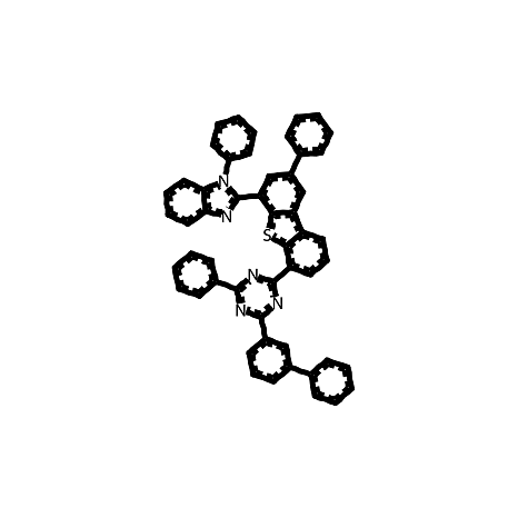 c1ccc(-c2cccc(-c3nc(-c4ccccc4)nc(-c4cccc5c4sc4c(-c6nc7ccccc7n6-c6ccccc6)cc(-c6ccccc6)cc45)n3)c2)cc1